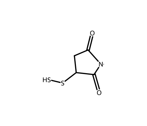 O=C1CC(SS)C(=O)[N]1